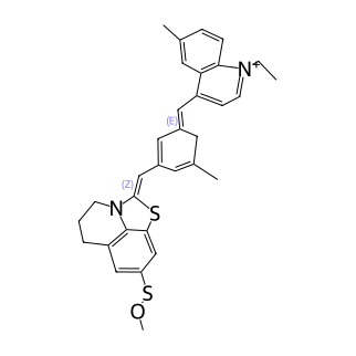 CC[n+]1ccc(/C=C2C=C(/C=C3\Sc4cc(SOC)cc5c4N3CCC5)C=C(C)C/2)c2cc(C)ccc21